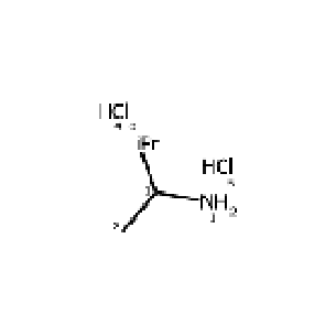 CC(C)C(C)N.Cl.Cl